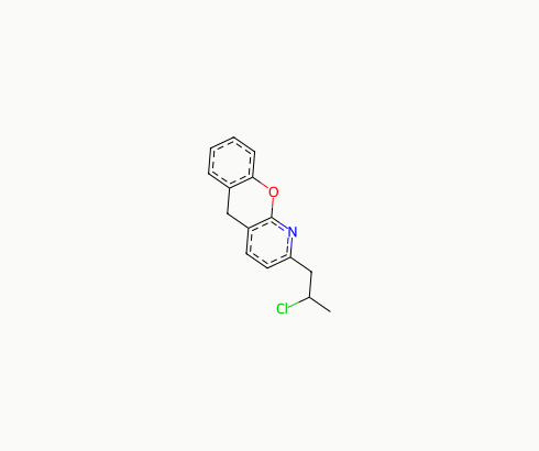 CC(Cl)Cc1ccc2c(n1)Oc1ccccc1C2